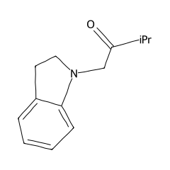 CC(C)C(=O)CN1CCc2ccccc21